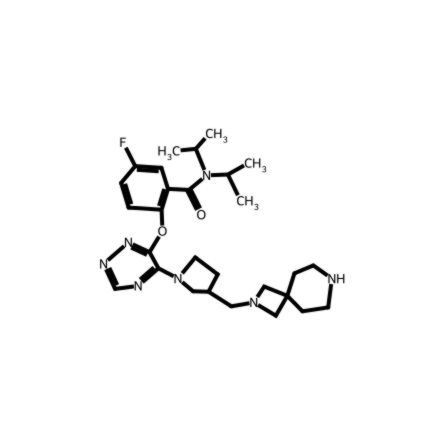 CC(C)N(C(=O)c1cc(F)ccc1Oc1nncnc1N1CCC(CN2CC3(CCNCC3)C2)C1)C(C)C